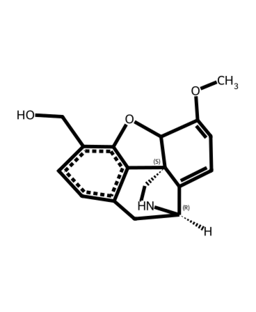 COC1=CC=C2[C@H]3Cc4ccc(CO)c5c4[C@@]2(CCN3)C1O5